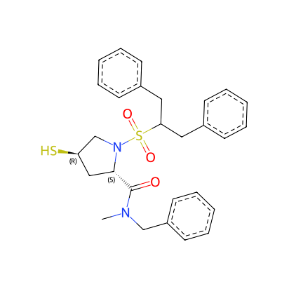 CN(Cc1ccccc1)C(=O)[C@@H]1C[C@@H](S)CN1S(=O)(=O)C(Cc1ccccc1)Cc1ccccc1